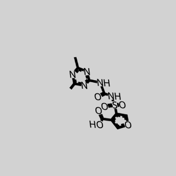 Cc1nc(C)nc(NC(=O)NS(=O)(=O)c2cocc2C(=O)O)n1